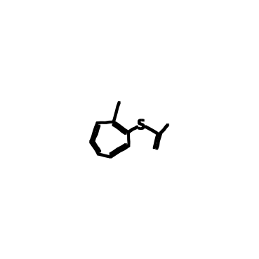 C=C(C)SC1=C(C)C=C=CC=C1